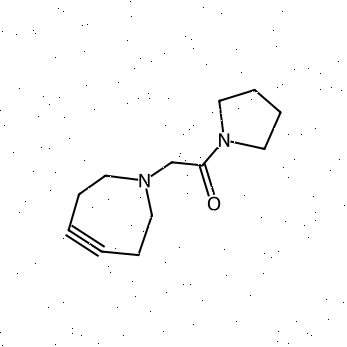 O=C(CN1CCC#CCC1)N1CCCC1